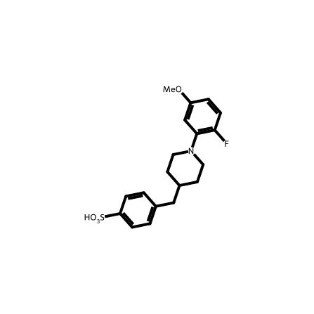 COc1ccc(F)c(N2CCC(Cc3ccc(S(=O)(=O)O)cc3)CC2)c1